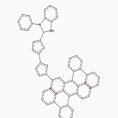 c1ccc(-c2ccccc2-c2c3ccccc3c(-c3ccccc3-c3ccccc3)c3cc(-c4ccc(-c5ccc(C6Nc7ccccc7N6c6ccccc6)s5)s4)ccc23)cc1